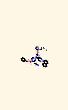 CCN1CCC[C@H]1COc1nc2c(c(N3CCN(C(=O)OCc4ccccc4)[C@@H](CC#N)C3)n1)CCN(c1cccc3ccccc13)C2